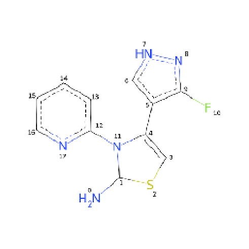 NC1SC=C(c2c[nH]nc2F)N1c1ccccn1